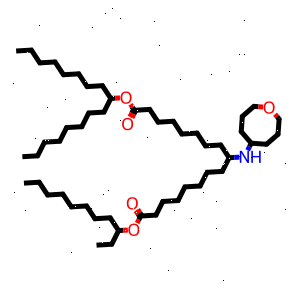 CCCCCCCCC(CC)OC(=O)CCCCCCCC(CCCCCCCC(=O)OC(CCCCCCCC)CCCCCCCC)NC1CCCOCCC1